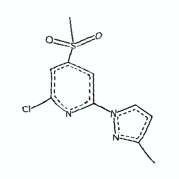 Cc1ccn(-c2cc(S(C)(=O)=O)cc(Cl)n2)n1